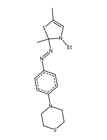 CCN1C=C(C)SC1(C)N=Nc1ccc(N2CCSCC2)cc1